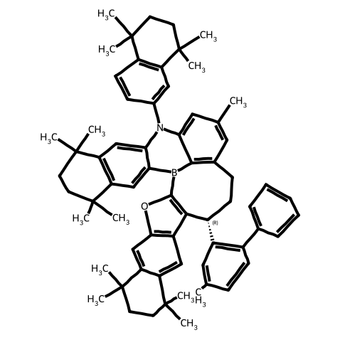 Cc1ccc(-c2ccccc2)c([C@H]2CCc3cc(C)cc4c3B(c3cc5c(cc3N4c3ccc4c(c3)C(C)(C)CCC4(C)C)C(C)(C)CCC5(C)C)c3oc4cc5c(cc4c32)C(C)(C)CCC5(C)C)c1